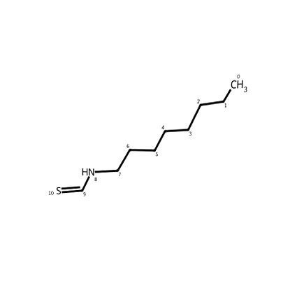 CCCCCCCCNC=S